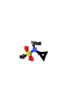 CCC[C@H](C)N(C1CC1)S(=O)(=O)C(C)(C)C